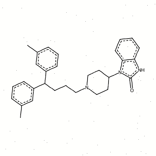 Cc1cccc(C(CCCN2CCC(n3c(=O)[nH]c4ccccc43)CC2)c2cccc(C)c2)c1